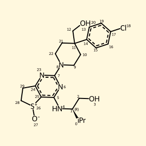 CC(C)[C@H](CO)Nc1nc(N2CCC(CO)(c3ccc(Cl)cc3)CC2)nc2c1[S+]([O-])CC2